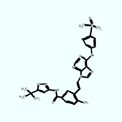 Cc1ccc(C(=O)Nc2cc(C(C)(C)C)on2)cc1C=Cn1cnc2c(Nc3ccc(P(C)(C)=O)cc3)ncnc21